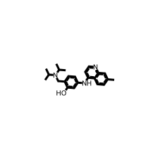 Cc1ccc2c(Nc3ccc(CN(C(C)C)C(C)C)c(O)c3)ccnc2c1